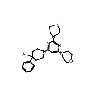 CC(=O)C1(c2ccccc2)CCN(c2cc(N3CCOCC3)nc(N3CCOCC3)n2)CC1